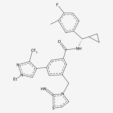 CCn1cc(-c2cc(Cn3ccsc3=N)cc(C(=O)N[C@H](c3ccc(F)c(C)c3)C3CC3)c2)c(C(F)(F)F)n1